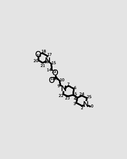 CN1CCC(C2CCN(CCC(=O)OCCN3CCOCC3)CC2)CC1